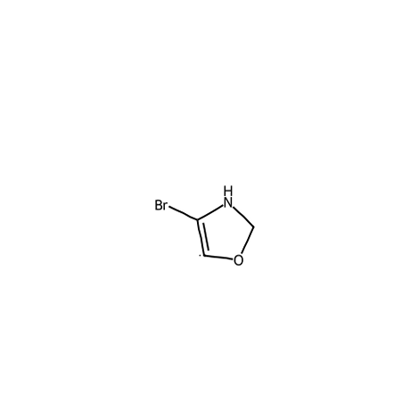 BrC1=[C]OCN1